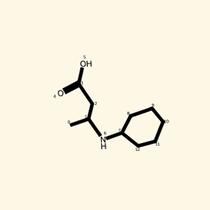 CC(CC(=O)O)NC1CCCCC1